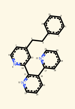 c1ccc(CCc2ccnc(-c3ncccc3-c3ccccn3)c2)cc1